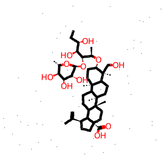 C=C(C)[C@@H]1CC[C@]2(C(=O)O)CC[C@]3(C)C(CCC4[C@@]5(C)CC[C@H](O[C@H](C)[C@H](O[C@@H]6O[C@@H](C)[C@H](O)[C@@H](O)[C@H]6O)[C@@H](O)[C@@H](O)CC)[C@@](C)(CO)C5CC[C@]43C)C12